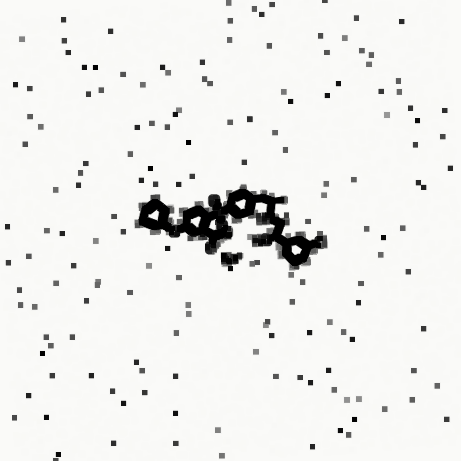 C[C@H](Cc1ccc(S(=O)(=O)c2ccc(Oc3ccccc3)cc2C(=O)[O-])cc1)NC[C@H](O)c1cccc(Cl)c1.[Na+]